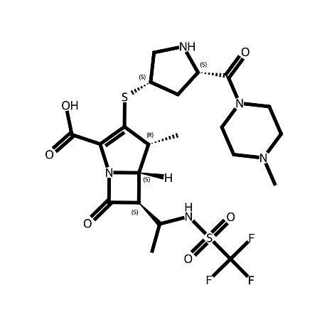 CC(NS(=O)(=O)C(F)(F)F)[C@H]1C(=O)N2C(C(=O)O)=C(S[C@@H]3CN[C@H](C(=O)N4CCN(C)CC4)C3)[C@H](C)[C@H]12